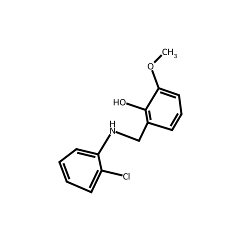 COc1cccc(CNc2ccccc2Cl)c1O